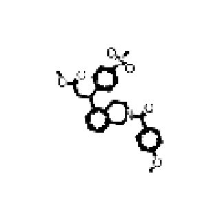 COC(=O)CC(c1ccc(S(C)(=O)=O)cc1)c1cccc2c1CCN(C(=O)c1ccc(OC)cc1)C2